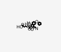 N#Cc1c2cc(Oc3ccccc3)ccc2c(O)c(C(=O)NCCCC(=O)O)[n+]1[O-]